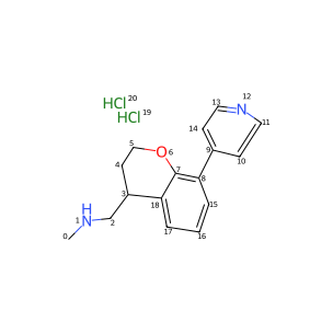 CNCC1CCOc2c(-c3ccncc3)cccc21.Cl.Cl